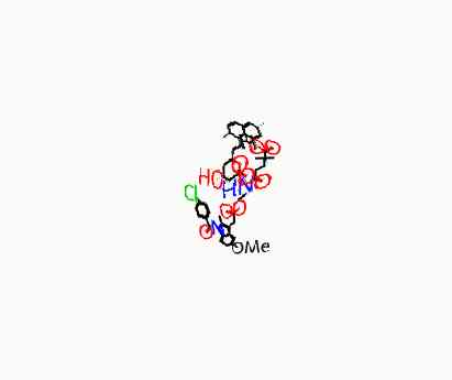 COc1ccc2c(c1)c(CC(=O)OCCNC(=O)CCC(C)(C)C(=O)O[C@H]1C[C@@H](C)C=C3C=C[C@H](C)[C@H](CC[C@@H]4C[C@@H](O)CC(=O)O4)[C@H]31)c(C)n2C(=O)c1ccc(Cl)cc1